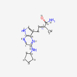 N#C/C(=C\Cc1c[nH]c2ncc(NC3CCCC3)nc12)C(N)=O